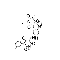 Cc1cccc(N2C(=O)NC(=O)/C(=C\Nc3ccc4c(c3)CC3(C(=O)N(C)C(=O)N(C)C3=O)C3CCCN43)C2=O)c1